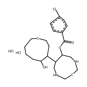 Cl.Cl.O=C(OC1CNCCCNCC1C1CCCCCCCC1O)c1ccc(Cl)cc1